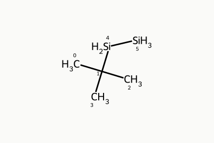 CC(C)(C)[SiH2][SiH3]